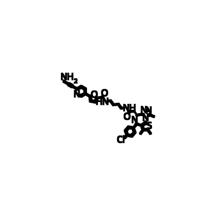 Cc1sc2c(c1C)C(c1ccc(Cl)cc1)=N[C@@H](CC(=O)NCCCCNC(=O)c1ccc(-c3ccc(C#CCN)nc3)o1)c1nnc(C)n1-2